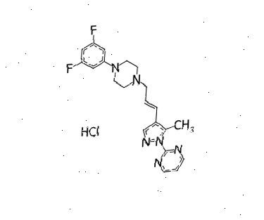 Cc1c(C=CCN2CCN(c3cc(F)cc(F)c3)CC2)cnn1-c1ncccn1.Cl